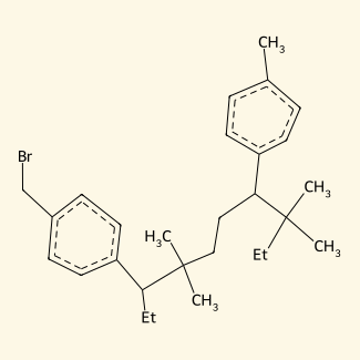 CCC(c1ccc(CBr)cc1)C(C)(C)CCC(c1ccc(C)cc1)C(C)(C)CC